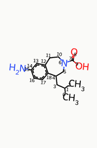 CC(C)CC1CN(C(=O)O)CCc2cc(N)ccc21